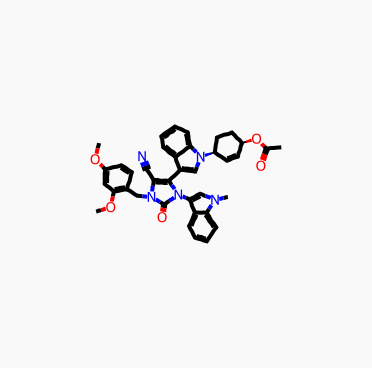 COc1ccc(Cn2c(C#N)c(-c3cn([C@@H]4C=C[C@H](OC(C)=O)CC4)c4ccccc34)n(-c3cn(C)c4ccccc34)c2=O)c(OC)c1